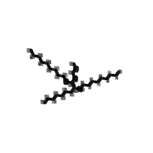 CCCCCCCCCOC(CCCCCCC)=C(OCCCCCCCCC)OCOC